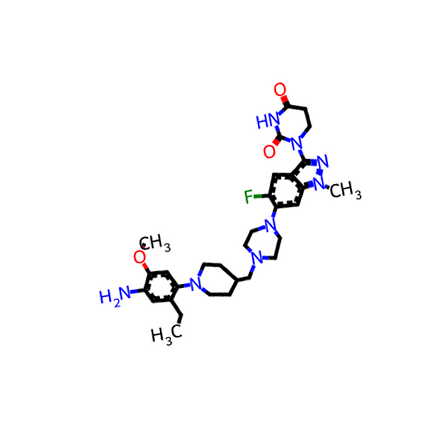 CCc1cc(N)c(OC)cc1N1CCC(CN2CCN(c3cc4c(cc3F)c(N3CCC(=O)NC3=O)nn4C)CC2)CC1